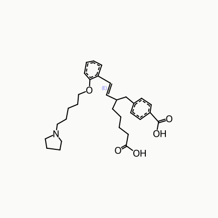 O=C(O)CCCCC(/C=C/c1ccccc1OCCCCCN1CCCC1)Cc1ccc(C(=O)O)cc1